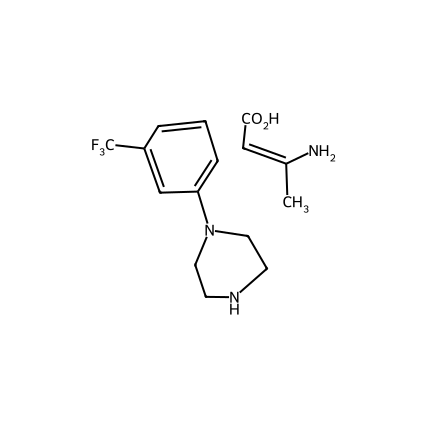 C/C(N)=C/C(=O)O.FC(F)(F)c1cccc(N2CCNCC2)c1